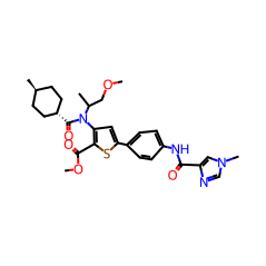 COCC(C)N(c1cc(-c2ccc(NC(=O)c3cn(C)cn3)cc2)sc1C(=O)OC)C(=O)[C@H]1CC[C@H](C)CC1